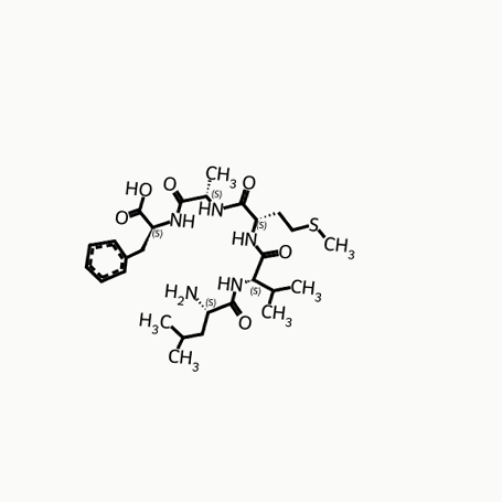 CSCC[C@H](NC(=O)[C@@H](NC(=O)[C@@H](N)CC(C)C)C(C)C)C(=O)N[C@@H](C)C(=O)N[C@@H](Cc1ccccc1)C(=O)O